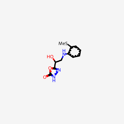 CSc1ccccc1NCC(O)c1n[nH]c(=O)o1